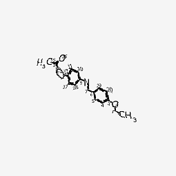 CCOc1ccc(C=Nc2ccc(OC(C)=O)cc2)cc1